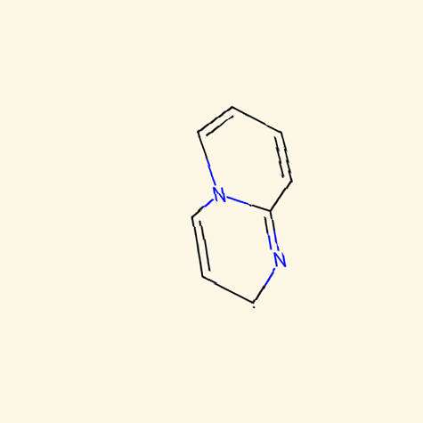 [CH]1C=CN2C=CC=CC2=N1